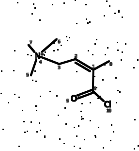 CC(=CC[N+](C)(C)C)C(=O)Cl